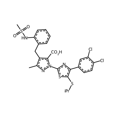 Cc1nn(-c2nc(-c3ccc(Cl)c(Cl)c3)c(SC(C)C)s2)c(C(=O)O)c1Cc1ccccc1NS(C)(=O)=O